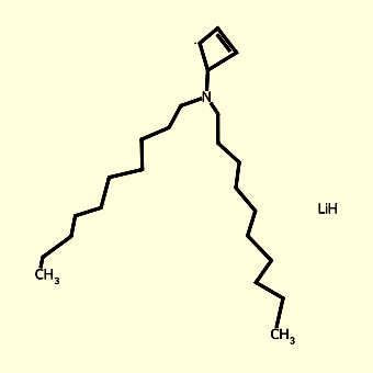 CCCCCCCCCCN(CCCCCCCCCC)C1[CH]C=C1.[LiH]